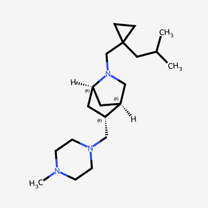 CC(C)CC1(CN2C[C@@H]3C[C@H]2C[C@H]3CN2CCN(C)CC2)CC1